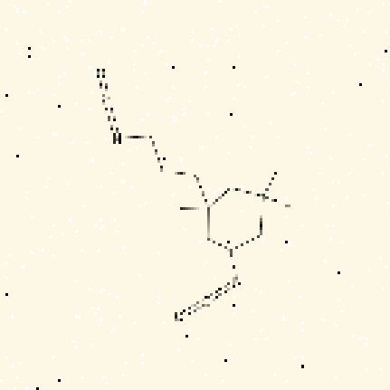 CC1(C)CC(N=C=O)CC(C)(CCCN=C=O)C1